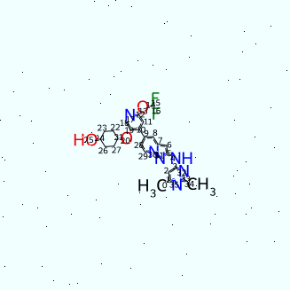 Cc1cc(Nc2cc3cc(-c4cc(OC(F)F)ncc4O[C@H]4CC[C@H](O)CC4)ccn3n2)nc(C)n1